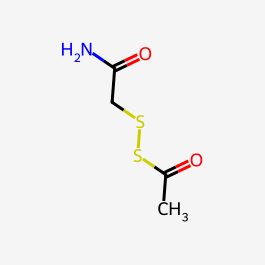 CC(=O)SSCC(N)=O